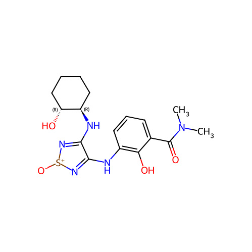 CN(C)C(=O)c1cccc(Nc2n[s+]([O-])nc2N[C@@H]2CCCC[C@H]2O)c1O